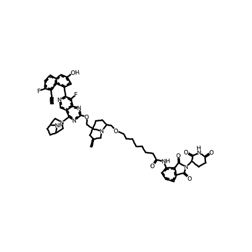 C#Cc1c(F)ccc2cc(O)cc(-c3ncc4c(N5CC6CCC(C5)N6)nc(OCC56CCC(COCCCCCCCC(=O)Nc7cccc8c7C(=O)N(C7CCC(=O)NC7=O)C8=O)N5CC(=C)C6)nc4c3F)c12